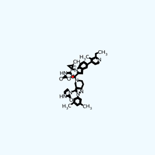 CCc1nccc(-c2ccc3c(c2)cc(C(=O)N2CCc4nn(-c5cc(C)cc(C)c5)c(-n5cc[nH]c5=O)c4C2)n3[C@@]2(c3noc(=O)[nH]3)C[C@H]2C)c1C